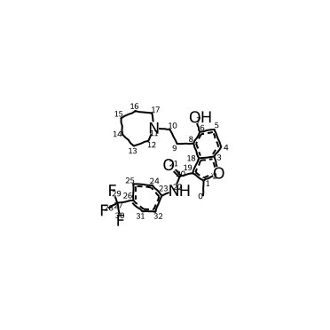 Cc1oc2ccc(O)c(CCN3CCCCCC3)c2c1C(=O)Nc1ccc(C(F)(F)F)cc1